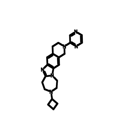 c1cnc(N2CCc3cc4nc5n(c4cc3C2)CCN(C2CCC2)CC5)cn1